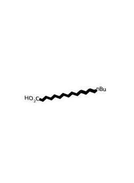 CCCCC=C/C=C/CCCCCCCCCC(=O)O